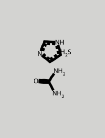 NC(N)=O.S.c1c[nH]cn1